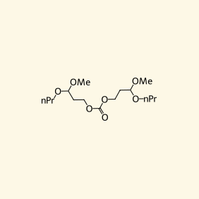 CCCOC(CCOC(=O)OCCC(OC)OCCC)OC